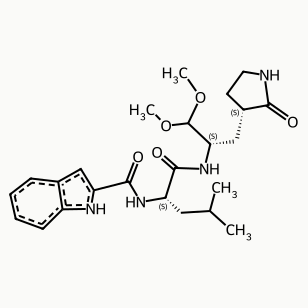 COC(OC)[C@H](C[C@@H]1CCNC1=O)NC(=O)[C@H](CC(C)C)NC(=O)c1cc2ccccc2[nH]1